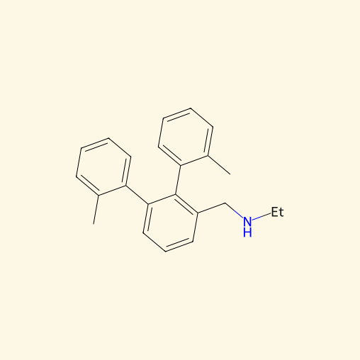 CCNCc1cccc(-c2ccccc2C)c1-c1ccccc1C